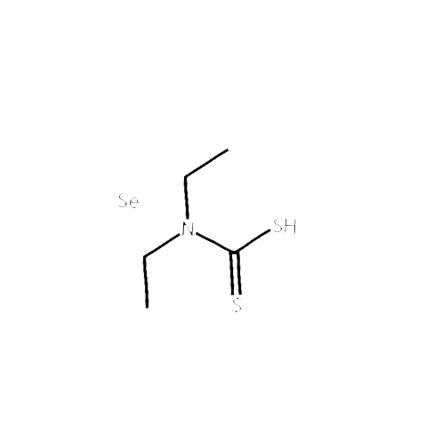 CCN(CC)C(=S)S.[Se]